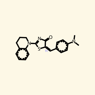 CN(C)c1ccc(/C=C2/SC(N3CCCc4ccccc43)=NC2=O)cc1